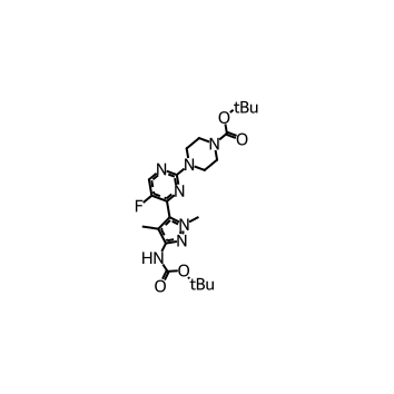 Cc1c(NC(=O)OC(C)(C)C)nn(C)c1-c1nc(N2CCN(C(=O)OC(C)(C)C)CC2)ncc1F